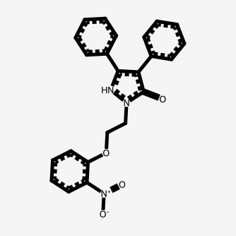 O=c1c(-c2ccccc2)c(-c2ccccc2)[nH]n1CCOc1ccccc1[N+](=O)[O-]